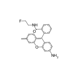 C=c1ccc2c(c1)Oc1cc(N)ccc1C=2c1ccccc1C(=O)NCCF